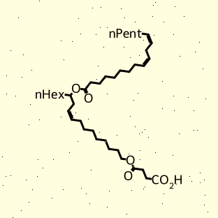 CCCCC/C=C\C/C=C\CCCCCCCC(=O)OC(C/C=C\CCCCCCCCOC(=O)CCC(=O)O)CCCCCC